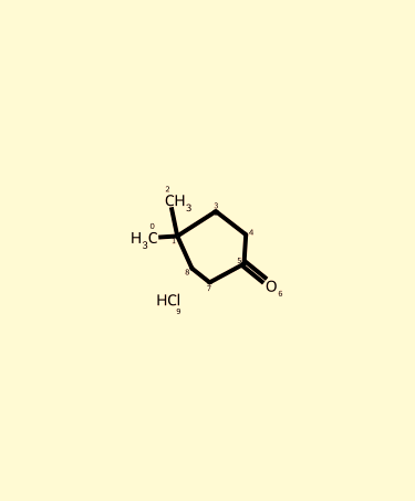 CC1(C)[CH]CC(=O)CC1.Cl